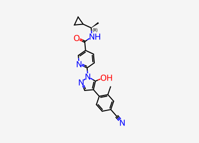 Cc1cc(C#N)ccc1-c1cnn(-c2ccc(C(=O)N[C@H](C)C3CC3)cn2)c1O